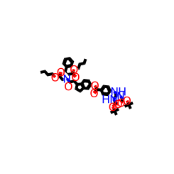 CCCCOC(=O)CN(C(=O)CC1CCc2cc(OC(=O)c3ccc(N/C(=N/C(=O)OC(C)(C)C)NC(=O)OC(C)(C)C)cc3)ccc21)[C@@H](Cc1ccccc1)C(=O)OCCCC